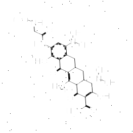 CCCCNCC(=O)Nc1cc(N(C)C)c2c(c1O)C(=O)C1=C(O)[C@]3(O)C(=O)C(C(N)=O)=C(O)[C@@H](N(C)C)C3CC1C2